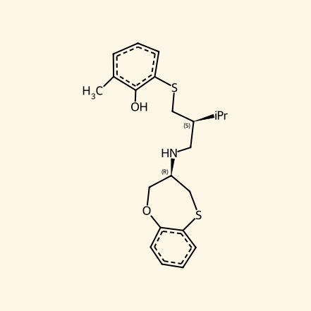 Cc1cccc(SC[C@H](CN[C@@H]2COc3ccccc3SC2)C(C)C)c1O